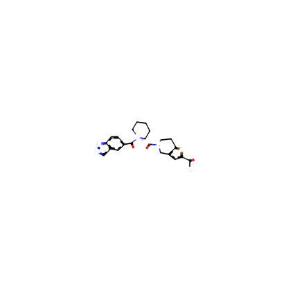 CNC(=O)c1cc2c(s1)CCN(C(=O)[C@H]1CCCCN1C(=O)c1ccc3[nH]ncc3c1)C2